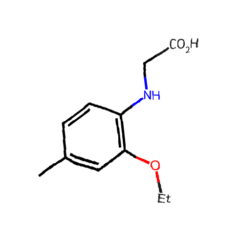 CCOc1cc(C)ccc1NCC(=O)O